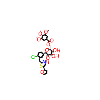 COc1cc(C(=O)OC[C@H]2O[C@@H](c3ccc(Cl)c(Cc4ncc(-c5ccco5)s4)c3)[C@H](O)[C@H](O)[C@H]2O)cc(OC)c1OC